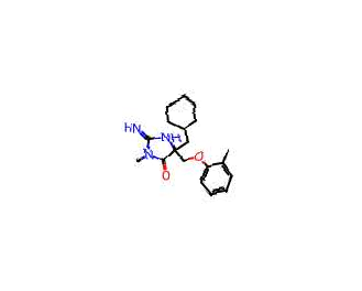 Cc1ccccc1OCC1(CC2CCCCC2)NC(=N)N(C)C1=O